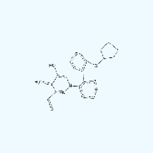 C=C1C(O)=CN(c2ccccc2-c2ccccc2OC2CCCC2)N=C1C=O